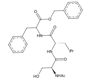 CC(=O)N[C@@H](CO)C(=O)N[C@@H](CC(C)C)C(=O)NC(Cc1ccccc1)C(=O)OCc1ccccc1